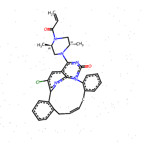 C=CC(=O)N1C[C@H](C)N(c2nc(=O)n3c4nc(c(Cl)cc24)-c2ccccc2CC=CCc2ccccc2-3)C[C@H]1C